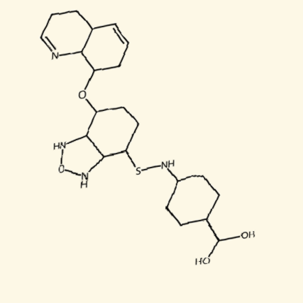 OC(O)C1CCC(NSC2CCC(OC3CC=CC4CCC=NC43)C3NONC23)CC1